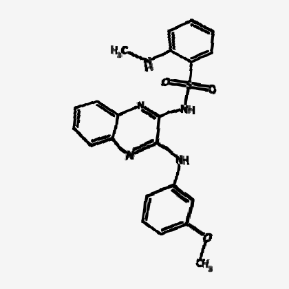 CNc1ccccc1S(=O)(=O)Nc1nc2ccccc2nc1Nc1cccc(OC)c1